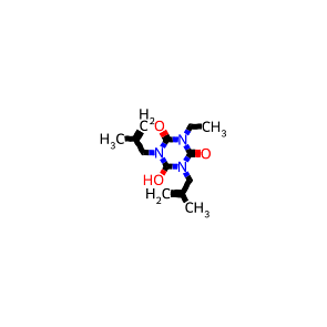 C=C(C)CN1C(=O)N(CC)C(=O)N(CC(=C)C)C1O